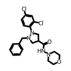 O=C(NN1CCOCC1)C1CN(Cc2ccccc2)N(c2ccc(Cl)cc2Cl)C1